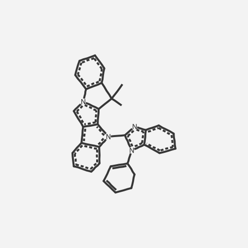 CC1(C)c2ccccc2-n2cc3c4ccccc4n(-c4nc5ccccc5n4C4=CC=CCC4)c3c21